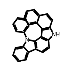 c1ccc(-n2c3ccccc3c3ccc4[nH]c5ccc6ccccc6c5c4c32)cc1